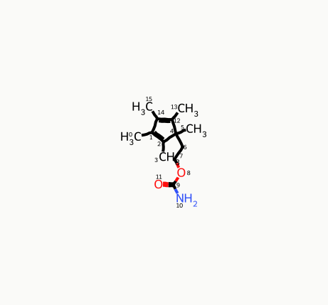 CC1=C(C)C(C)(CCOC(N)=O)C(C)=C1C